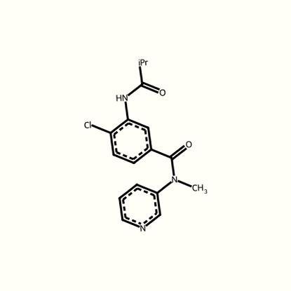 CC(C)C(=O)Nc1cc(C(=O)N(C)c2cccnc2)ccc1Cl